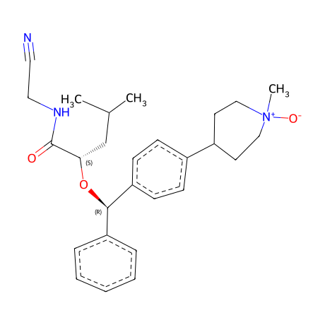 CC(C)C[C@H](O[C@H](c1ccccc1)c1ccc(C2CC[N+](C)([O-])CC2)cc1)C(=O)NCC#N